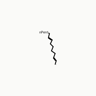 [CH2]C=CCCCCC=CCCCCCC